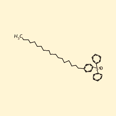 CCCCCCCCCCCCCCCCCCc1ccc([S+](=O)(c2ccccc2)c2ccccc2)cc1